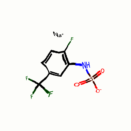 O=S(=O)([O-])Nc1cc(C(F)(F)F)ccc1F.[Na+]